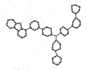 c1ccc(-c2ccc(N(c3ccc(-c4cccc(-c5ccccc5)c4)cc3)c3ccc(-c4cccc(-c5cccc6c5oc5cccnc56)c4)cc3)cc2)cc1